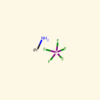 CC(C)N.FP(F)(F)(F)F